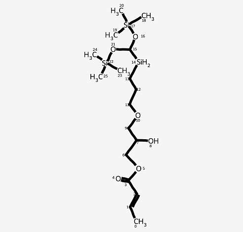 CC=CC(=O)OCC(O)COCCC[SiH2]C(O[Si](C)(C)C)O[Si](C)(C)C